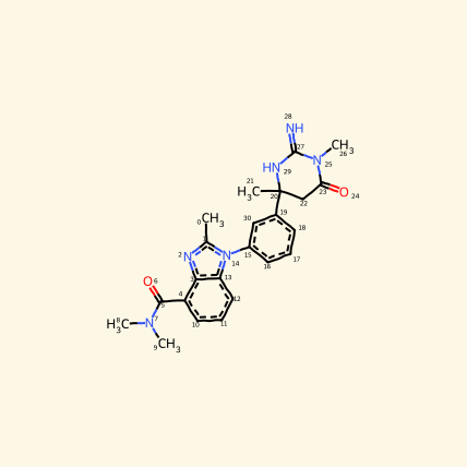 Cc1nc2c(C(=O)N(C)C)cccc2n1-c1cccc(C2(C)CC(=O)N(C)C(=N)N2)c1